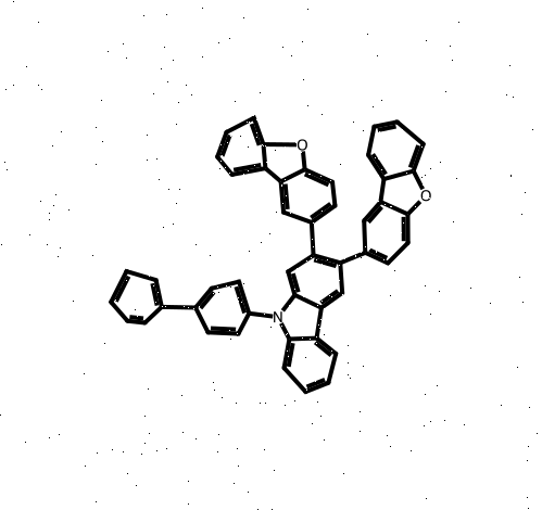 c1ccc(-c2ccc(-n3c4ccccc4c4cc(-c5ccc6oc7ccccc7c6c5)c(-c5ccc6oc7ccccc7c6c5)cc43)cc2)cc1